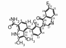 Cc1[nH]c2c(C(N)=O)ccc(-c3cccc(-n4cnc5ccc(F)cc5c4=O)c3C)c2c1C